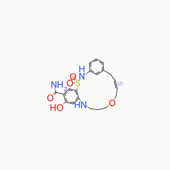 NC(=O)c1cc2c(cc1O)NCCCOC/C=C\Cc1cccc(c1)NS2(=O)=O